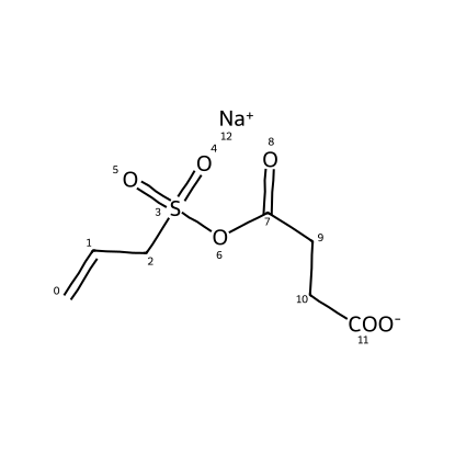 C=CCS(=O)(=O)OC(=O)CCC(=O)[O-].[Na+]